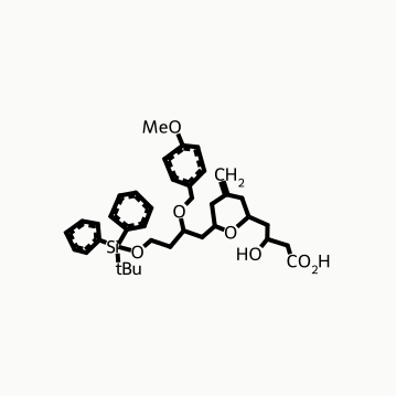 C=C1CC(CC(O)CC(=O)O)OC(CC(CCO[Si](c2ccccc2)(c2ccccc2)C(C)(C)C)OCc2ccc(OC)cc2)C1